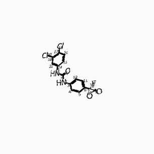 O=C(Nc1ccc(S(=O)(=O)F)cc1)Nc1ccc(Cl)c(Cl)c1